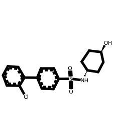 O=S(=O)(N[C@H]1CC[C@H](O)CC1)c1ccc(-c2ccccc2Cl)cc1